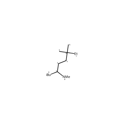 CCC(C)C(CCC(C)(C)CC)NC